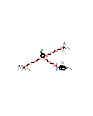 CC12CC3CC(C)(C1)CC(NC(=O)OCCOCCOc1c(OCCOCCOCCOC(C)(C)C)cc(CBr)cc1OCCOCCOCCOC(C)(C)C)(C3)C2